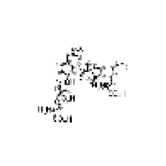 NCCCC[C@H](N)C(=O)O.N[C@@H](CO)C(=O)O.N[C@@H](Cc1ccc(O)cc1)C(=O)O.O=C(O)[C@@H]1CCCN1.O=C(O)[C@@H]1CCCN1.O=C(O)[C@@H]1CCCN1